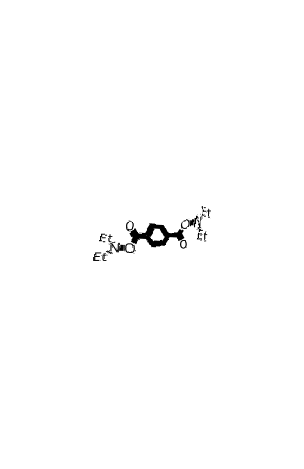 CCN(CC)OC(=O)c1ccc(C(=O)ON(CC)CC)cc1